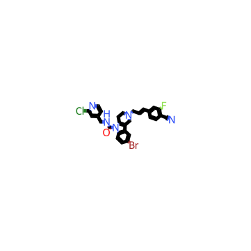 N#Cc1ccc(/C=C/CN2CCc3c(c4cc(Br)ccc4n3C(=O)NCc3ccnc(Cl)c3)C2)cc1F